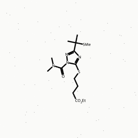 CCOC(=O)CCCSc1nc(C(C)(C)SC)nn1C(=O)N(C)C